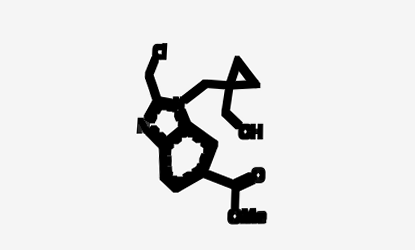 COC(=O)c1ccc2nc(CCl)n(CC3(CO)CC3)c2c1